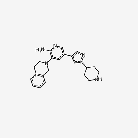 Nc1ncc(-c2cnn(C3CCNCC3)c2)cc1N1CCc2ccccc2C1